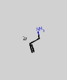 C=CCN.[Zr]